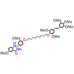 COc1ccc2c(c1)C(=O)NC(c1ccc(OCCCCCCCCCCOc3c(OC)cc(/C=C/c4cc(OC)c(OC)c(OC)c4)cc3OC)c(OC)c1)N2